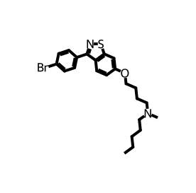 CCCCCN(C)CCCCOc1ccc2c(-c3ccc(Br)cc3)nsc2c1